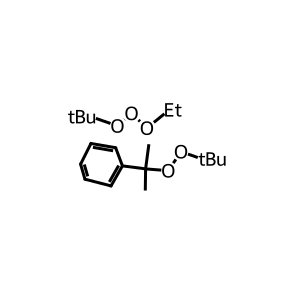 CC(C)(C)OOC(C)(C)c1ccccc1.CCOOOC(C)(C)C